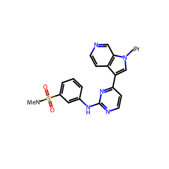 CNS(=O)(=O)c1cccc(Nc2nccc(-c3cn(C(C)C)c4cnccc34)n2)c1